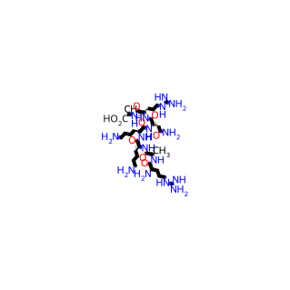 C[C@H](NC(=O)[C@H](CCCNC(=N)N)NC(=O)[C@H](CC(N)=O)NC(=O)[C@H](CCCCN)NC(=O)[C@H](CCCCN)NC(=O)[C@H](C)NC(=O)[C@@H](N)CCCNC(=N)N)C(=O)O